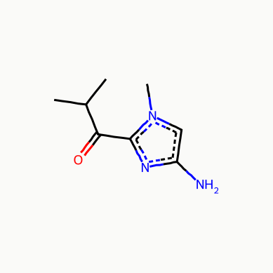 CC(C)C(=O)c1nc(N)cn1C